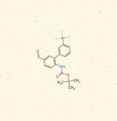 CC(C)(C)OC(=O)Nc1ccc(C=O)cc1-c1cccc(C(F)(F)F)c1